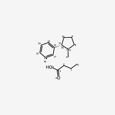 CCCC(=O)O.CN1CCC[C@H]1c1cccnc1